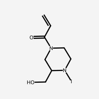 C=CC(=O)N1CCN(I)C(CO)C1